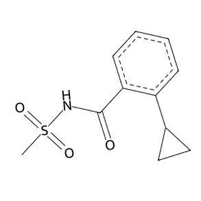 CS(=O)(=O)NC(=O)c1ccccc1C1CC1